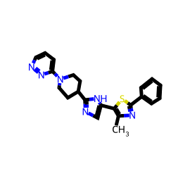 Cc1nc(-c2ccccc2)sc1-c1cnc(C2CCN(c3cccnn3)CC2)[nH]1